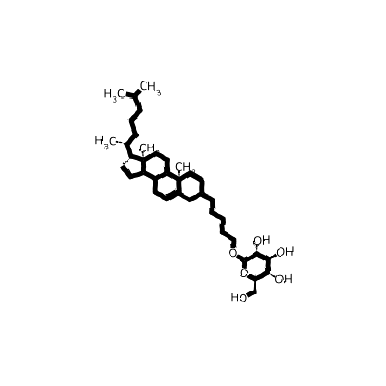 CC(C)CCC[C@@H](C)[C@H]1CCC2C3CC=C4CC(CCCCCOC5O[C@H](CO)[C@@H](O)[C@H](O)[C@H]5O)CC[C@]4(C)C3CC[C@@]21C